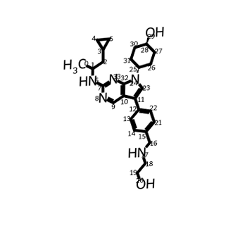 CC(CC1CC1)Nc1ncc2c(-c3ccc(CNCCO)cc3)cn([C@H]3CC[C@H](O)CC3)c2n1